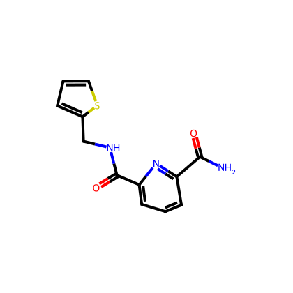 NC(=O)c1cccc(C(=O)NCc2cccs2)n1